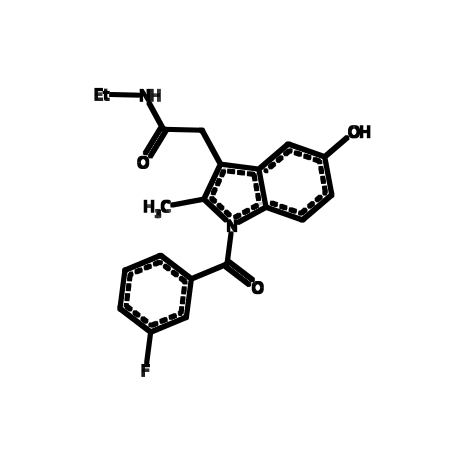 CCNC(=O)Cc1c(C)n(C(=O)c2cccc(F)c2)c2ccc(O)cc12